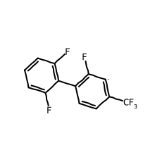 Fc1[c]c(C(F)(F)F)ccc1-c1c(F)cccc1F